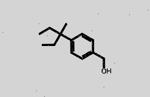 CCC(C)(CC)c1ccc(CO)cc1